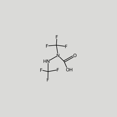 O=C(O)N(NC(F)(F)F)C(F)(F)F